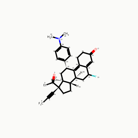 CCC(=O)[C@@]1(C#CC(F)(F)F)CC[C@H]2[C@@H]3CC(F)C4=CC(=O)CCC4=C3[C@@H](c3ccc(N(C)C)cc3)C[C@@]21C